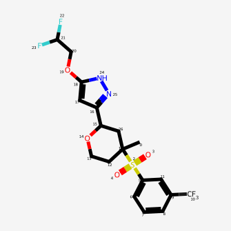 CC1(S(=O)(=O)c2cccc(C(F)(F)F)c2)CCOC(c2cc(OCC(F)F)[nH]n2)C1